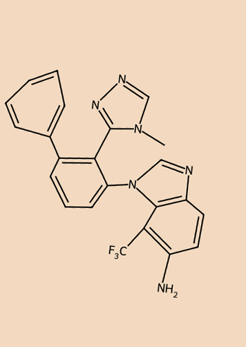 Cn1cnnc1-c1c(-c2ccccc2)cccc1-n1cnc2ccc(N)c(C(F)(F)F)c21